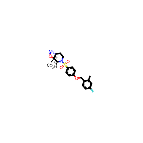 Cc1cc(F)ccc1COc1ccc(S(=O)(=O)N2CCC[C@@](C)(ON)[C@@H]2C(=O)O)cc1